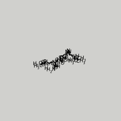 CC(C)(C)OC(=O)NCCCO/N=C(/C(=O)NC1C(=O)N2C(C(=O)O)=C(CSc3nnnn3CCCNC(=O)OC(C)(C)C)CS[C@H]12)c1nsc(N)n1